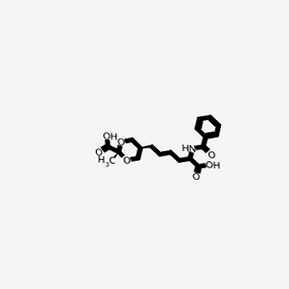 C[C@]1(C(=O)O)OC[C@@H](CCCCC(NC(=O)c2ccccc2)C(=O)O)CO1